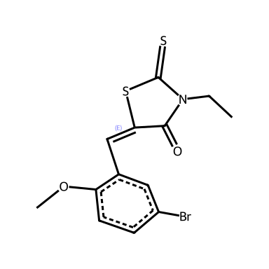 CCN1C(=O)/C(=C\c2cc(Br)ccc2OC)SC1=S